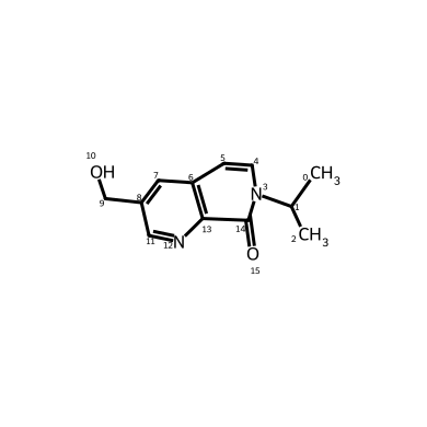 CC(C)n1ccc2cc(CO)cnc2c1=O